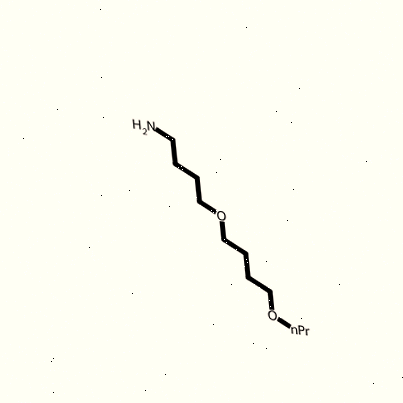 CCCOCCCCOCCCCN